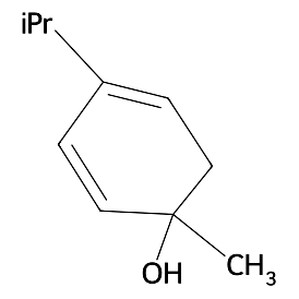 CC(C)C1=CCC(C)(O)C=C1